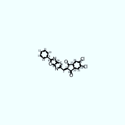 O=C1C(=Cc2nc3oc(-c4ccccc4)nc3s2)C(=O)c2cc(Cl)c(Cl)cc21